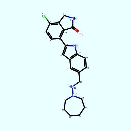 O=C1NCc2c(Cl)ccc(-c3cc4cc(CNN5CCCCCC5)ccc4[nH]3)c21